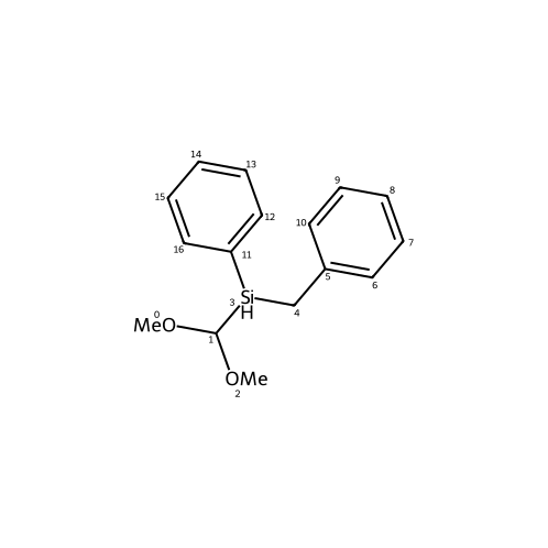 COC(OC)[SiH](Cc1ccccc1)c1ccccc1